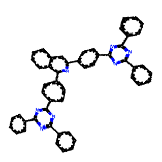 c1ccc(-c2nc(-c3ccccc3)nc(-c3ccc(-c4cc5ccccc5c(-c5ccc(-c6nc(-c7ccccc7)nc(-c7ccccc7)n6)cc5)n4)cc3)n2)cc1